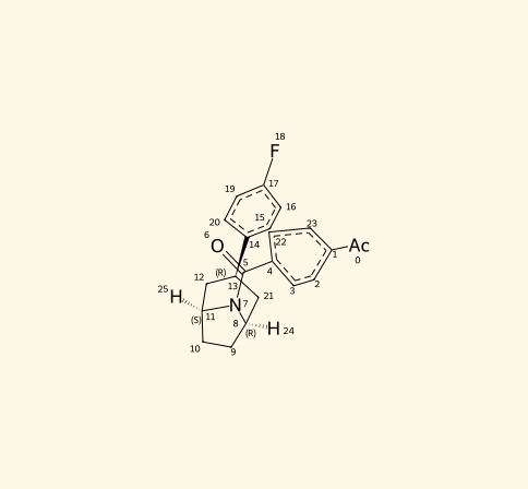 CC(=O)c1ccc(C(=O)N2[C@@H]3CC[C@H]2C[C@@H](c2ccc(F)cc2)C3)cc1